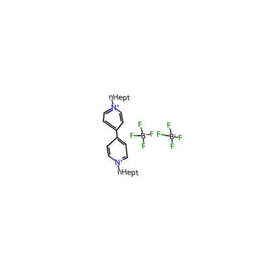 CCCCCCC[n+]1ccc(-c2cc[n+](CCCCCCC)cc2)cc1.F[B-](F)(F)F.F[B-](F)(F)F